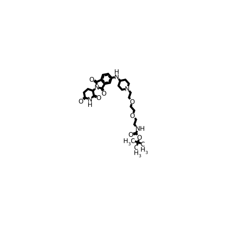 CC(C)(C)OC(=O)NCCOCCOCCN1CCC(Nc2ccc3c(c2)C(=O)N(C2CCC(=O)NC2=O)C3=O)CC1